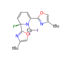 CC(C)(C)c1coc(C2=CC=C[C@@](F)(c3nc(C(C)(C)C)co3)[N]2[Co]([I])[I])n1